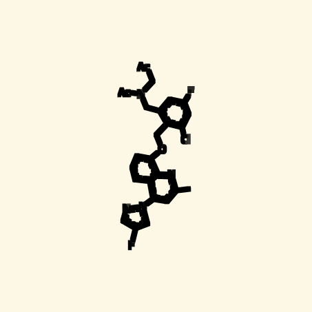 CC(=O)CN(Cc1cc(F)cc(Cl)c1COc1cccc2c(-n3cc(F)cn3)cc(C)nc12)C(C)=O